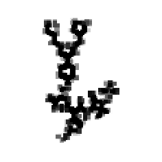 CC1(C)C(NC(=O)/C(=N\O[C@@H](COc2ccc(C(=C/NCCCN)/C=N/CC3CCNC3)cc2)C(=O)O)c2csc(N)n2)C(=O)N1OS(=O)(=O)O